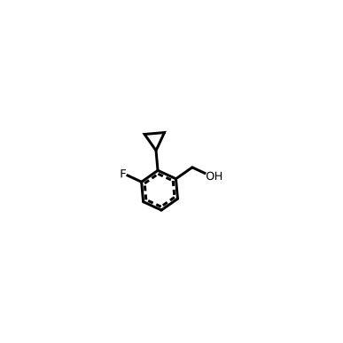 OCc1cccc(F)c1C1CC1